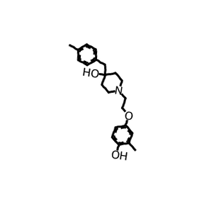 Cc1ccc(CC2(O)CCN(CCOc3ccc(O)c(C)c3)CC2)cc1